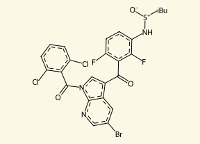 CCC(C)[S+]([O-])Nc1ccc(F)c(C(=O)c2cn(C(=O)c3c(Cl)cccc3Cl)c3ncc(Br)cc23)c1F